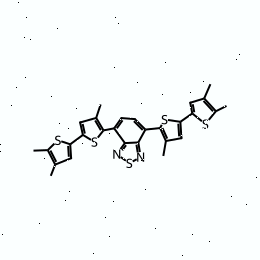 Cc1cc(-c2cc(C)c(-c3ccc(-c4sc(-c5cc(C)c(C)s5)cc4C)c4nsnc34)s2)sc1C